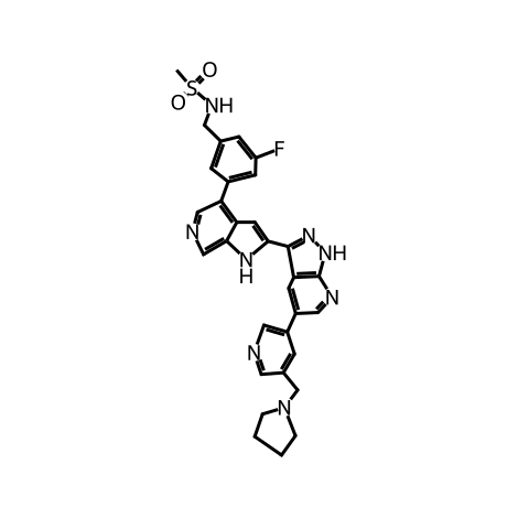 CS(=O)(=O)NCc1cc(F)cc(-c2cncc3[nH]c(-c4n[nH]c5ncc(-c6cncc(CN7CCCC7)c6)cc45)cc23)c1